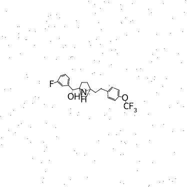 O[C@H](c1cccc(F)c1)C12CCC(CCc3ccc(OC(F)(F)F)cc3)(CC1)N2